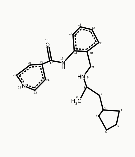 CC(CC1CCCC1)NCc1ccccc1NC(=O)c1ccncc1